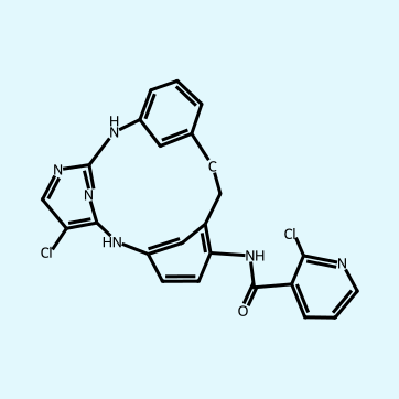 O=C(Nc1ccc2cc1CCc1cccc(c1)Nc1ncc(Cl)c(n1)N2)c1cccnc1Cl